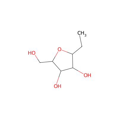 CCC1OC(CO)C(O)C1O